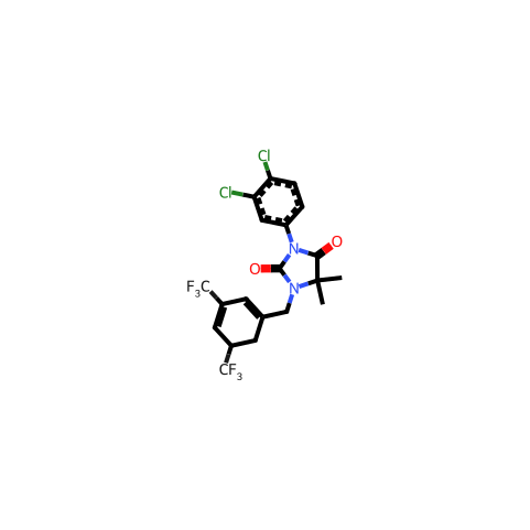 CC1(C)C(=O)N(c2ccc(Cl)c(Cl)c2)C(=O)N1CC1=CC(C(F)(F)F)=CC(C(F)(F)F)C1